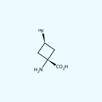 N[C@]1(C(=O)O)C[C@@H]([18F])C1